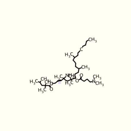 CCCCCCCC(C)CCCC(C)CCC(OC(=O)CCCN(C)C)C(C)(C)CC(C)(N)/C=C/COC(=O)C(C)(C)CC(C)C